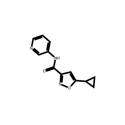 O=C(Nc1cccnc1)c1cc(C2CC2)on1